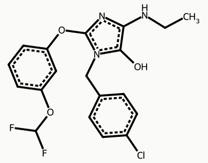 CCNc1nc(Oc2cccc(OC(F)F)c2)n(Cc2ccc(Cl)cc2)c1O